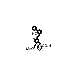 COCCOc1cc(C)c(/C=C/c2cccc(-c3ccccc3)c2C#N)cc1CN1CCOCC1C(=O)O